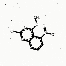 COc1nc(Cl)nc2cccc([N+](=O)[O-])c12